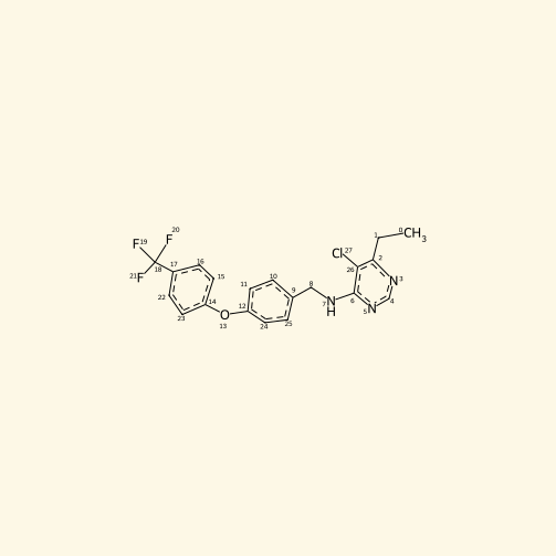 CCc1ncnc(NCc2ccc(Oc3ccc(C(F)(F)F)cc3)cc2)c1Cl